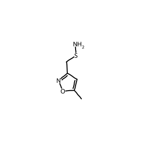 Cc1cc(CSN)no1